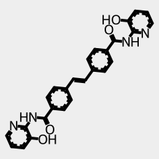 O=C(Nc1ncccc1O)c1ccc(C=Cc2ccc(C(=O)Nc3ncccc3O)cc2)cc1